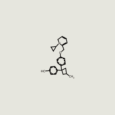 [CH]c1ccc(C2(c3ccc(OCC4=CC=CCN4C4CC4)cc3)CC(C)C2)cc1